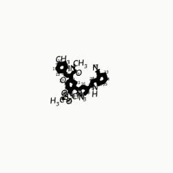 CNC(=O)c1c(-c2ccc(C)cc2)oc2cc(N(C)S(C)(=O)=O)c(-c3cc(-c4cc5c(C#N)cccc5[nH]4)cnn3)cc12